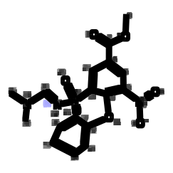 COC(=O)c1cc([N+](=O)[O-])c(Oc2ccccc2)c(S(=O)(=O)/N=C/N(C)C)c1